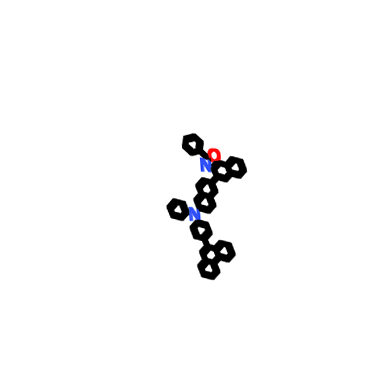 c1ccc(-c2nc3c(-c4ccc5cc(N(c6ccccc6)c6ccc(-c7cc8ccccc8c8ccccc78)cc6)ccc5c4)cc4ccccc4c3o2)cc1